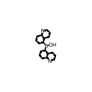 OB(c1cccc2ncccc12)c1cccc2ncccc12